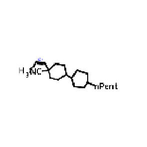 C/C=C\C1(C#N)CCC(C2CCC(CCCCC)CC2)CC1